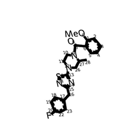 COc1ccccc1C(=O)N1CCN(c2nc(Cc3ccc(F)cc3)ns2)CC1C